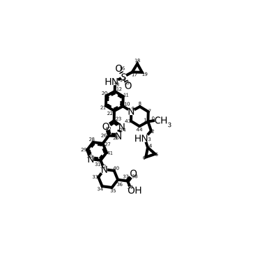 CC1(CNC2CC2)CCN(c2cc(NS(=O)(=O)C3CC3)ccc2-c2nnc(-c3ccnc(N4CCCC(C(=O)O)C4)c3)o2)CC1